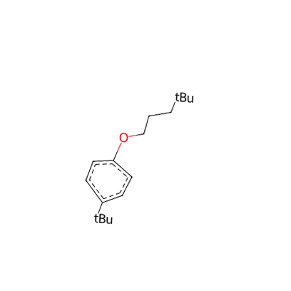 CC(C)(C)CCCOc1ccc(C(C)(C)C)cc1